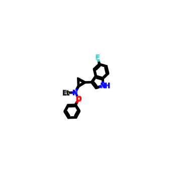 CCN(Oc1ccccc1)C1CC1c1c[nH]c2ccc(F)cc12